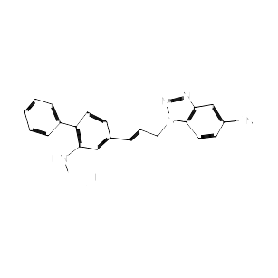 N#Cc1ccc2c(c1)nnn2C/C=C/c1ccc(-c2ccccc2)c(NC(=O)O)c1